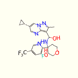 Cc1nn2cc(C3CC3)cnc2c1C(O)NC1(c2ncc(C(F)(F)F)cc2F)CCOCC1O